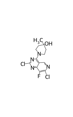 CC1(O)CCN(c2nc(Cl)nc3c(F)c(Cl)ncc23)CC1